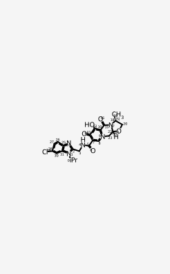 CC(C)n1c(CNC(=O)c2cn3c(c(O)c2=O)C(=O)N2[C@@H](C)CO[C@@H]2C3)nc2ccc(Cl)cc21